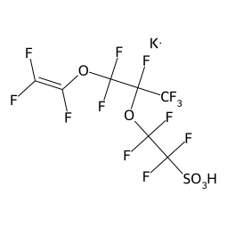 O=S(=O)(O)C(F)(F)C(F)(F)OC(F)(C(F)(F)F)C(F)(F)OC(F)=C(F)F.[K]